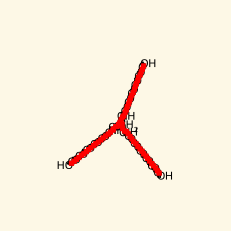 NC(COCCC(=O)NCCOCCOCCOCCOCCOCCOCCOCCOCCOCCOCCOCCO)(COCCC(=O)NCCOCCOCCOCCOCCOCCOCCOCCOCCOCCOCCOCCO)COCCC(=O)NCCOCCOCCOCCOCCOCCOCCOCCOCCOCCOCCOCCO